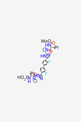 COC(=O)N[C@H](C(=O)N1CCCC1c1ncc(-c2ccc(-c3ccc(-c4cnc([C@@H]5CCCN5C(=O)[C@@H](NC(=O)O)C(C)C)[nH]4)c(F)c3)cc2F)[nH]1)C(C)C